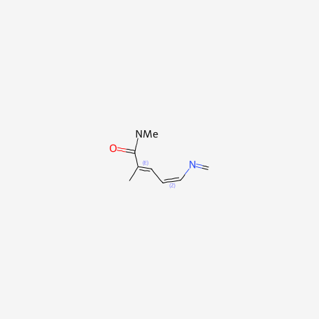 C=N/C=C\C=C(/C)C(=O)NC